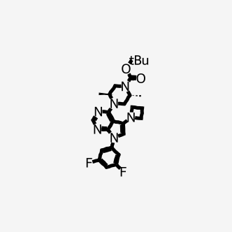 C[C@@H]1CN(c2ncnc3c2c(N2CCC2)cn3-c2cc(F)cc(F)c2)[C@@H](C)CN1C(=O)OC(C)(C)C